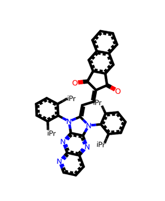 CC(C)c1cccc(C(C)C)c1N1/C(=C\C=C2C(=O)c3cc4ccccc4cc3C2=O)N(c2c(C(C)C)cccc2C(C)C)c2nc3ncccc3nc21